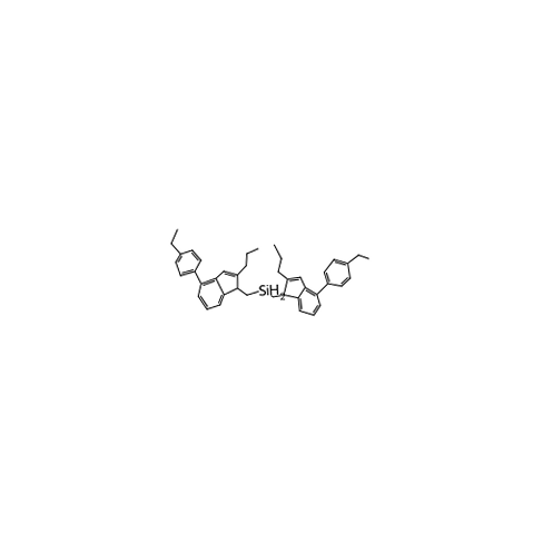 CCCC1=Cc2c(-c3ccc(CC)cc3)cccc2C1C[SiH2]CC1C(CCC)=Cc2c(-c3ccc(CC)cc3)cccc21